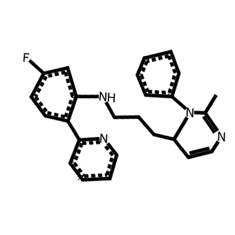 CC1=NC=CC(CCCNc2cc(F)ccc2-c2c[c]ccn2)N1c1ccccc1